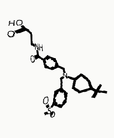 CC(C)(C)C1CCC(N(Cc2ccc(C(=O)NCCC(=O)O)cc2)Cc2cccc(S(C)(=O)=O)c2)CC1